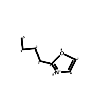 CCCCC1=[N+]C=CO1